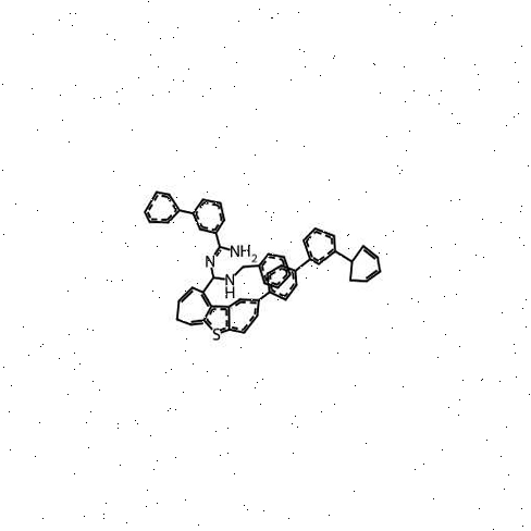 N/C(=N\C(NCc1ccccc1)C1=c2c(sc3ccc(-c4ccc(-c5cccc(C6C=CC=CC6)c5)cc4)cc23)=CCC=C1)c1cccc(-c2ccccc2)c1